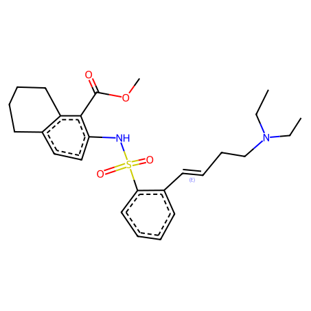 CCN(CC)CC/C=C/c1ccccc1S(=O)(=O)Nc1ccc2c(c1C(=O)OC)CCCC2